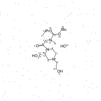 CC(C)C[C@@H](C(=O)N1CCN(CCO)C[C@@H]1C(=O)O)N(C)C(=O)OC(C)(C)C.Cl